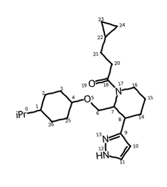 CC(C)C1CCC(OCC2C(c3cc[nH]n3)CCCN2C(=O)CCC2CC2)CC1